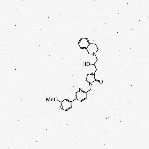 COc1cc(-c2ccc(CN3CCN(CC(O)CN4CCc5ccccc5C4)C3=O)nc2)ccn1